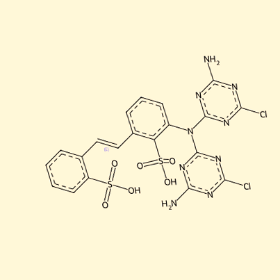 Nc1nc(Cl)nc(N(c2nc(N)nc(Cl)n2)c2cccc(/C=C/c3ccccc3S(=O)(=O)O)c2S(=O)(=O)O)n1